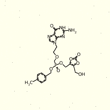 Cc1ccc(COP(=O)(COCCn2cnc3c(=O)[nH]c(N)nc32)OCc2oc(=O)oc2CO)cc1